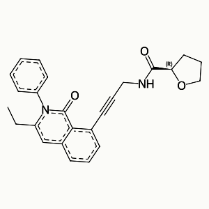 CCc1cc2cccc(C#CCNC(=O)[C@H]3CCCO3)c2c(=O)n1-c1ccccc1